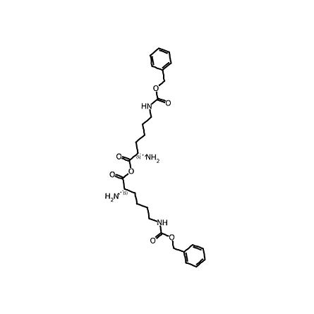 N[C@@H](CCCCNC(=O)OCc1ccccc1)C(=O)OC(=O)[C@@H](N)CCCCNC(=O)OCc1ccccc1